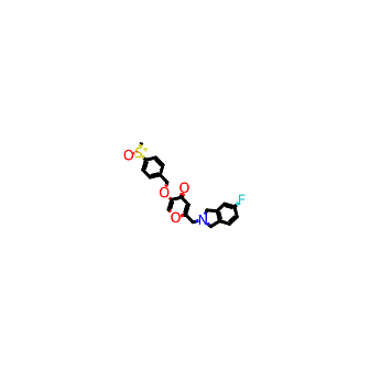 C[S+]([O-])c1ccc(COc2coc(CN3Cc4ccc(F)cc4C3)cc2=O)cc1